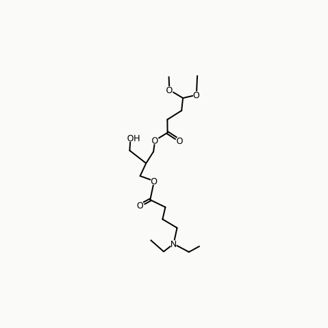 CCN(CC)CCCC(=O)OCC(CO)COC(=O)CCC(OC)OC